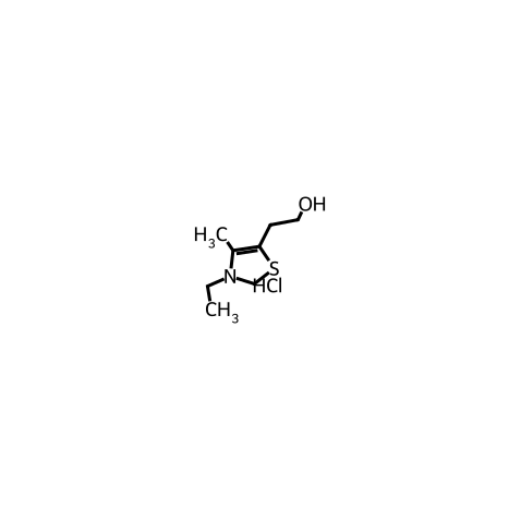 CCN1CSC(CCO)=C1C.Cl